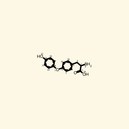 BC(Cc1ccc(Oc2ccc(O)cc2)cc1)C(=O)O